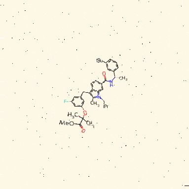 COC(=O)C(C)(C)Oc1cc(F)cc(Cc2c(C)n(CC(C)C)c3cc(C(=O)N[C@@H](C)c4cccc(C(C)(C)C)c4)ccc23)c1